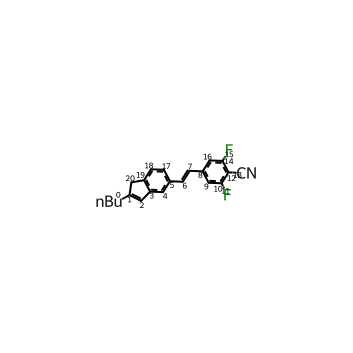 CCCCC1=Cc2cc(/C=C/c3cc(F)c(C#N)c(F)c3)ccc2C1